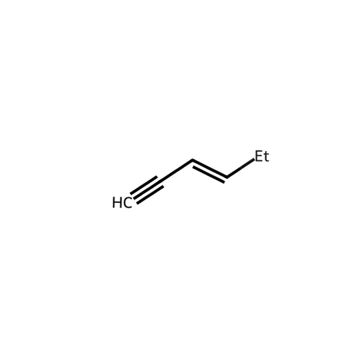 C#CC=CC[CH2]